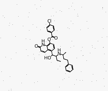 CCC(NC(C)CCc1ccccc1)C(O)c1ccc(OC(=O)c2ccc(Cl)cc2)c2[nH]c(=O)ccc12